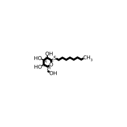 CCCCCCCCS[C@@H]1O[C@H](CO)[C@@H](O)[C@@H](O)[C@H]1O